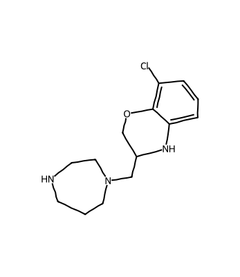 Clc1cccc2c1OCC(CN1CCCNCC1)N2